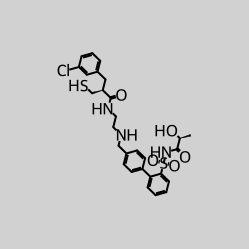 C[C@H](O)C(=O)NS(=O)(=O)c1ccccc1-c1ccc(CNCCNC(=O)[C@@H](CS)Cc2cccc(Cl)c2)cc1